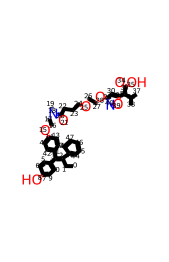 CC/C(=C(\c1ccc(O)cc1)c1ccc(OCCN(C)C(=O)CCCOCCOc2cc(C(C(=O)O)C(C)C)on2)cc1)c1ccccc1